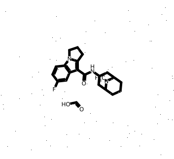 CN1C2CCCC1CC(NC(=O)c1c3n(c4ccc(F)cc14)CCC3)C2.O=CO